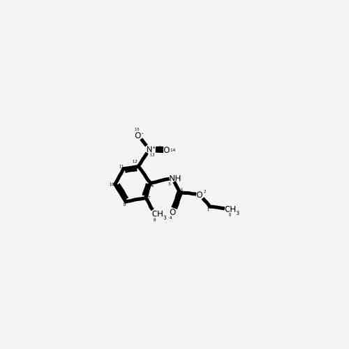 CCOC(=O)Nc1c(C)cccc1[N+](=O)[O-]